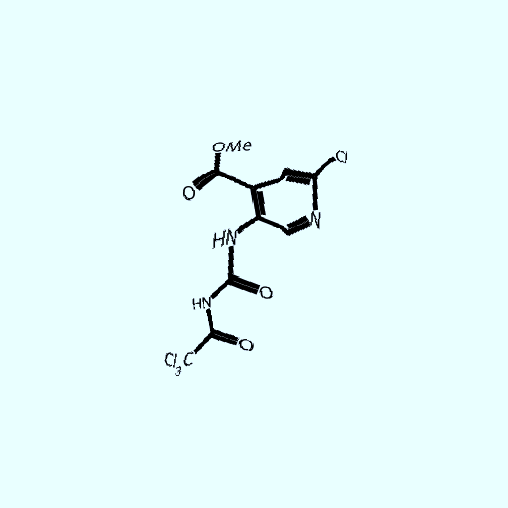 COC(=O)c1cc(Cl)ncc1NC(=O)NC(=O)C(Cl)(Cl)Cl